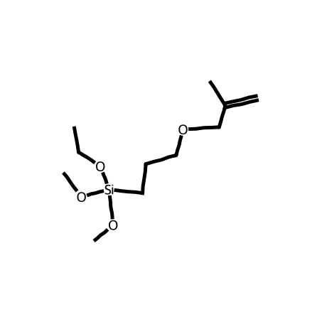 C=C(C)COCCC[Si](OC)(OC)OCC